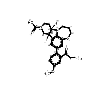 CCC(=O)c1cc(OC)ccc1-c1cc2c3c(c1)[C@@H]1CN(C(=O)O)CC[C@@H]1N3CCCS2